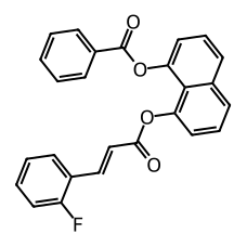 O=C(C=Cc1ccccc1F)Oc1cccc2cccc(OC(=O)c3ccccc3)c12